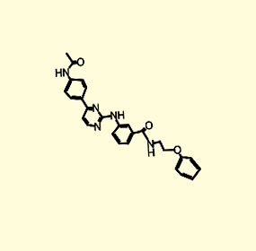 CC(=O)Nc1ccc(-c2ccnc(Nc3cccc(C(=O)NCCOc4ccccc4)c3)n2)cc1